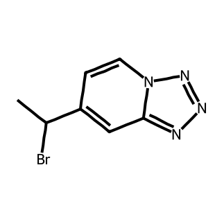 CC(Br)c1ccn2nnnc2c1